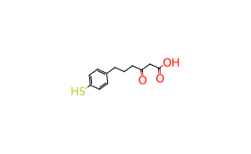 O=C(O)CC(=O)CCCc1ccc(S)cc1